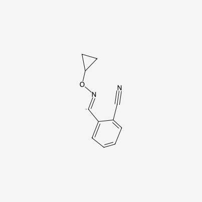 N#Cc1ccccc1/[C]=N/OC1CC1